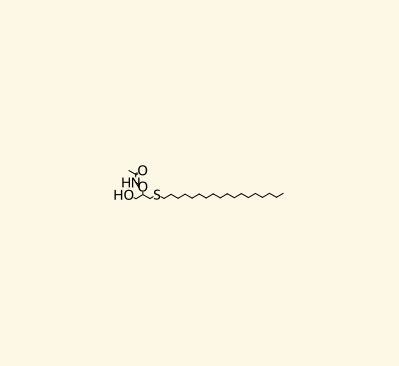 CCCCCCCCCCCCCCCCCCSCC(CO)ONC(C)=O